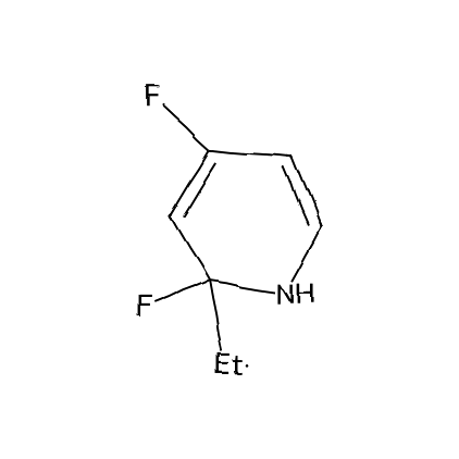 C[CH]C1(F)C=C(F)C=CN1